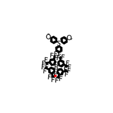 COc1ccc([S+](c2ccccc2)c2ccc(OC)cc2)cc1.FC(F)(F)c1cc([B-](c2cc(C(F)(F)F)cc(C(F)(F)F)c2)(c2cc(C(F)(F)F)cc(C(F)(F)F)c2)c2cc(C(F)(F)F)cc(C(F)(F)F)c2)cc(C(F)(F)F)c1